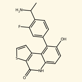 CC(N)c1ccc(-c2c(O)ccc3[nH]c(=O)c4sccc4c23)cc1F